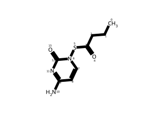 CCCC(=O)Sn1ccc(N)nc1=O